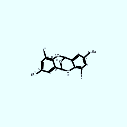 CC(C)(C)c1cc(I)c2c(c1)C1Oc3c(I)cc(C(C)(C)C)cc3C(O2)O1